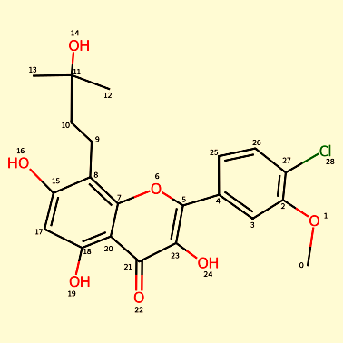 COc1cc(-c2oc3c(CCC(C)(C)O)c(O)cc(O)c3c(=O)c2O)ccc1Cl